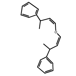 CC(/C=C\O/C=C\C(C)c1ccccc1)c1ccccc1